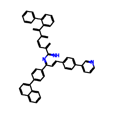 C=C(/C=C\C(=C)C(=N)/N=C(\C=C\c1ccc(-c2cccnc2)cc1)c1ccc(-c2cccc3ccccc23)cc1)C(=C)c1ccccc1-c1ccccc1